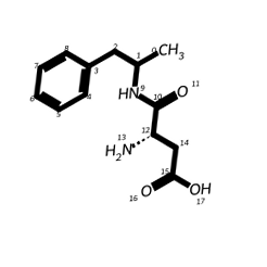 CC(Cc1ccccc1)NC(=O)[C@@H](N)CC(=O)O